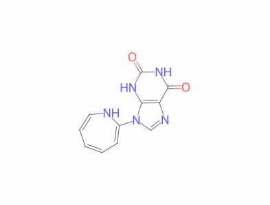 O=c1[nH]c(=O)c2ncn(C3=CC=CC=CN3)c2[nH]1